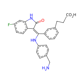 NCc1ccc(NC(=C2C(=O)Nc3cc(F)ccc32)c2cccc(CCC(=O)O)c2)cc1